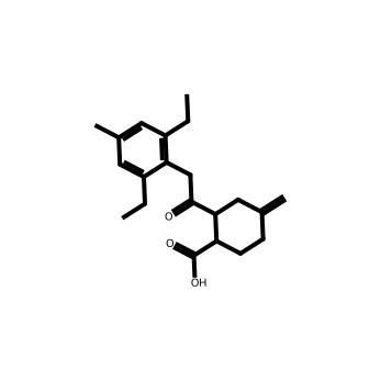 C=C1CCC(C(=O)O)C(C(=O)Cc2c(CC)cc(C)cc2CC)C1